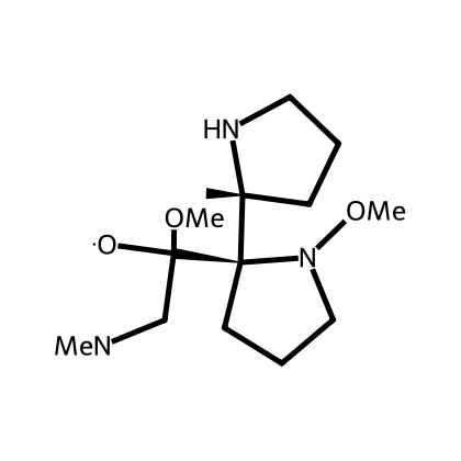 CNCC([O])(OC)[C@]1([C@@]2(C)CCCN2)CCCN1OC